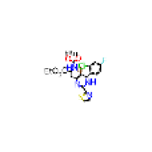 CCOC(=O)C(CC1=C(Br)C(c2ccc(F)cc2Cl)NC(c2nccs2)=N1)NC(=O)OC(C)(C)C